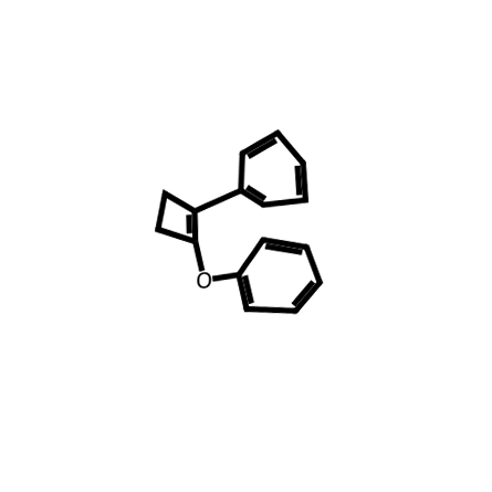 c1ccc(OC2=C(c3ccccc3)CC2)cc1